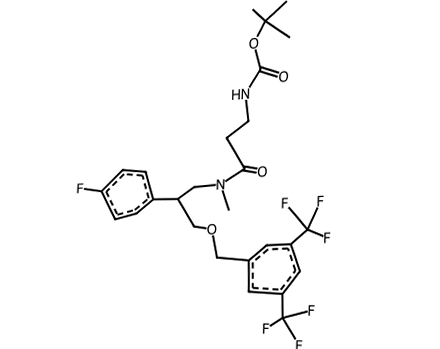 CN(CC(COCc1cc(C(F)(F)F)cc(C(F)(F)F)c1)c1ccc(F)cc1)C(=O)CCNC(=O)OC(C)(C)C